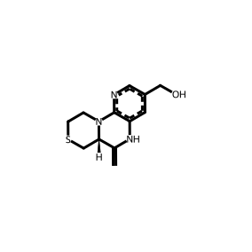 C=C1Nc2cc(CO)cnc2N2CCSC[C@@H]12